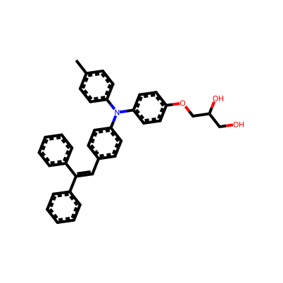 Cc1ccc(N(c2ccc(C=C(c3ccccc3)c3ccccc3)cc2)c2ccc(OCC(O)CO)cc2)cc1